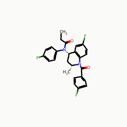 CCC(=O)N(c1ccc(F)cc1)[C@H]1C[C@@H](C)N(C(=O)c2ccc(F)cc2)c2ccc(F)cc21